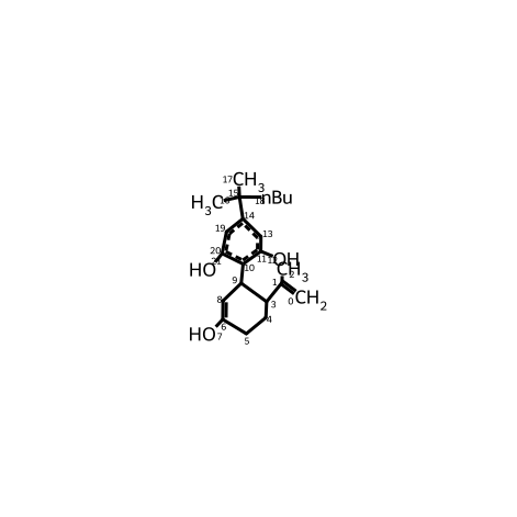 C=C(C)C1CCC(O)=CC1c1c(O)cc(C(C)(C)CCCC)cc1O